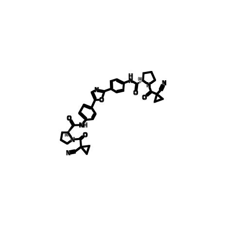 N#CC1(C(=O)N2CCC[C@H]2C(=O)Nc2ccc(-c3cnc(-c4ccc(NC(=O)[C@@H]5CCCN5C(=O)C5(C#N)CC5)cc4)o3)cc2)CC1